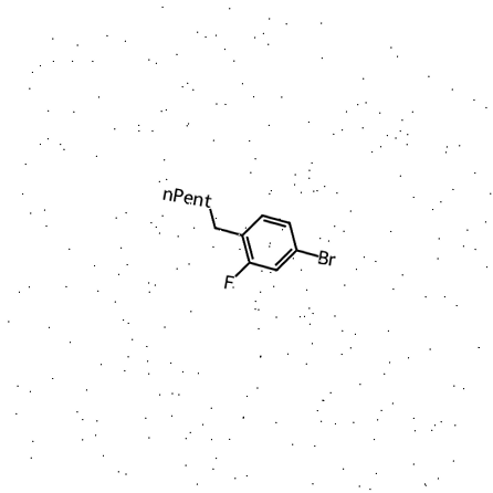 [CH2]CCCCCc1ccc(Br)cc1F